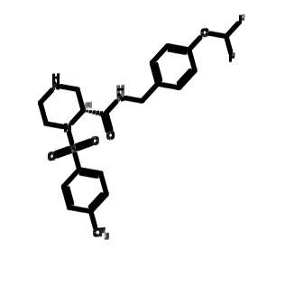 O=C(NCc1ccc(OC(F)F)cc1)[C@H]1CNCCN1S(=O)(=O)c1ccc(C(F)(F)F)cc1